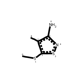 CSc1snc(N)c1C